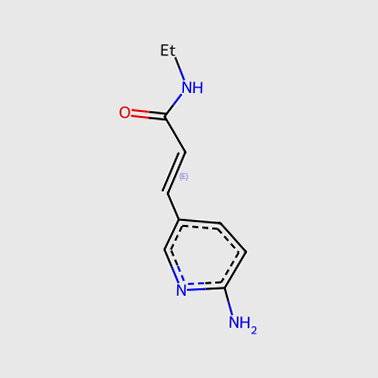 CCNC(=O)/C=C/c1ccc(N)nc1